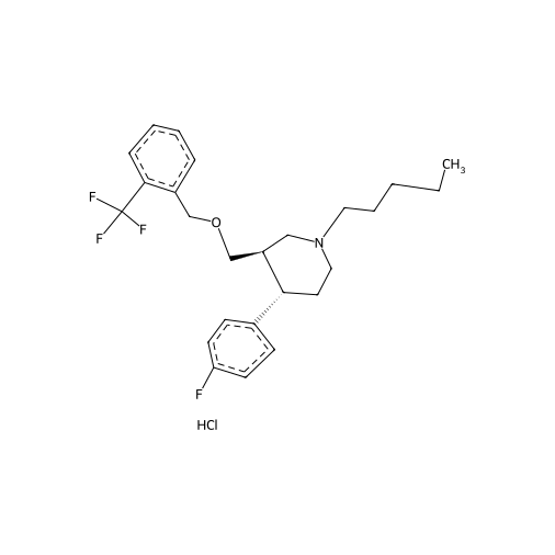 CCCCCN1CC[C@H](c2ccc(F)cc2)[C@@H](COCc2ccccc2C(F)(F)F)C1.Cl